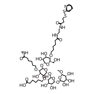 CNC(=O)CCCCCO[C@@H]1[C@@H](O[C@H]2O[C@H](CO)[C@@H](OCCCCCC(=O)NCCNC(=O)CCSSc3ccccn3)[C@H](O)[C@H]2O)O[C@H](O[C@H]2O[C@H](O[C@H]3O[C@H](OC)[C@H](O)[C@@H](O)[C@@H]3O)[C@H](O)[C@@H](O)[C@@H]2OCCCCCC(=O)O)[C@H](O)[C@H]1O